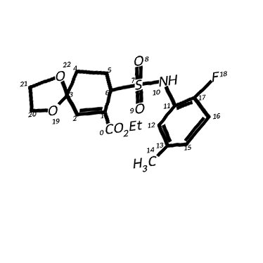 CCOC(=O)C1=CC2(CCC1S(=O)(=O)Nc1cc(C)ccc1F)OCCO2